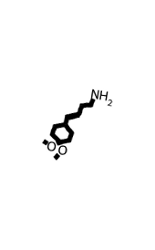 COC1(OC)CCC(C=CCCN)CC1